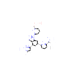 CC(N)c1cccc(-c2cc(-c3cc(C(F)(F)F)[nH]n3)c3cnn(-c4cccc(CO)n4)c3c2)n1